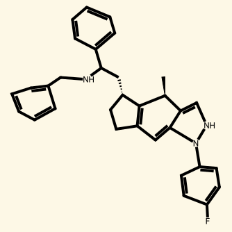 C[C@H]1C2=CNN(c3ccc(F)cc3)C2=CC2=C1[C@@H](CC(NCc1ccccc1)c1ccccc1)CC2